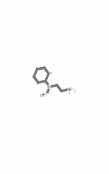 CCCN(CCN)C1CCCCC1